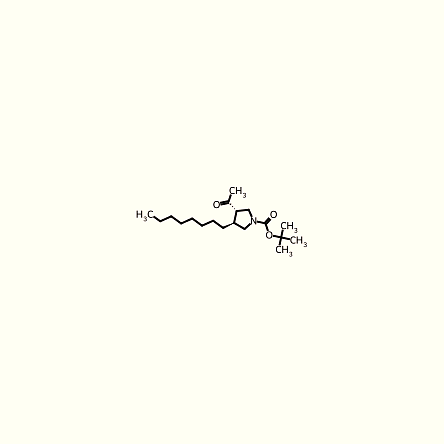 CCCCCCCC[C@@H]1CN(C(=O)OC(C)(C)C)C[C@H]1C(C)=O